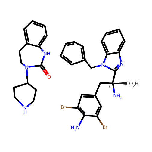 Nc1c(Br)cc(C[C@](N)(C(=O)O)c2nc3ccccc3n2Cc2ccccc2)cc1Br.O=C1Nc2ccccc2CCN1C1CCNCC1